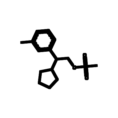 Cc1cccc(C(COS(C)(=O)=O)C2CCCC2)c1